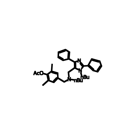 CCCCN(Cc1cc(C)c(OC(C)=O)c(C)c1)Cc1c(-c2ccccc2)nc(-c2ccccc2)n1CCCC